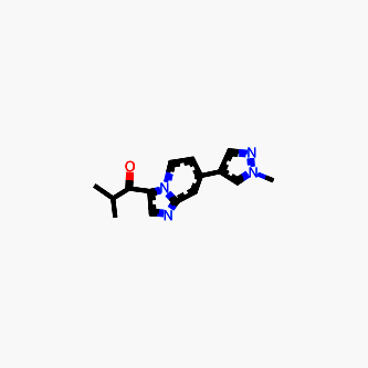 CC(C)C(=O)c1cnc2cc(-c3cnn(C)c3)ccn12